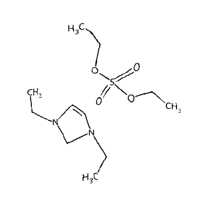 CCN1C=CN(CC)C1.CCOS(=O)(=O)OCC